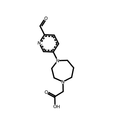 O=Cc1ccc(N2CCCN(CC(=O)O)CC2)cn1